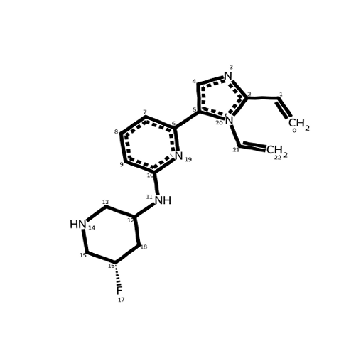 C=Cc1ncc(-c2cccc(NC3CNC[C@@H](F)C3)n2)n1C=C